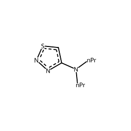 CCCN(CCC)c1csnn1